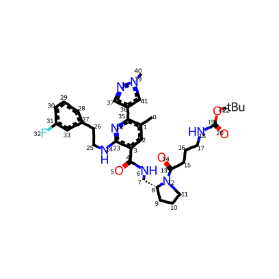 Cc1cc(C(=O)NC[C@H]2CCCN2C(=O)CCCNC(=O)OC(C)(C)C)c(NCCc2cccc(F)c2)nc1-c1cnn(C)c1